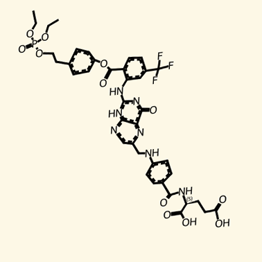 CCOP(=O)(OCC)OCCc1ccc(OC(=O)c2ccc(C(F)(F)F)cc2Nc2nc(=O)c3nc(CNc4ccc(C(=O)N[C@@H](CCC(=O)O)C(=O)O)cc4)cnc3[nH]2)cc1